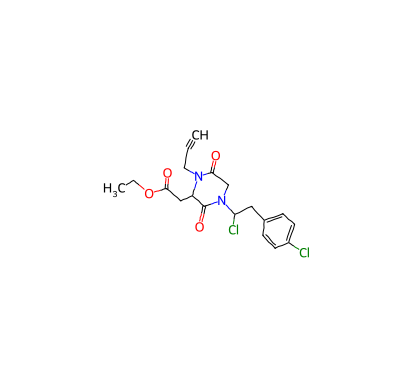 C#CCN1C(=O)CN(C(Cl)Cc2ccc(Cl)cc2)C(=O)C1CC(=O)OCC